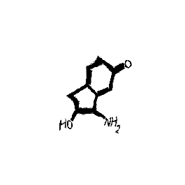 NC1C2=CC(=O)CC=C2CC1O